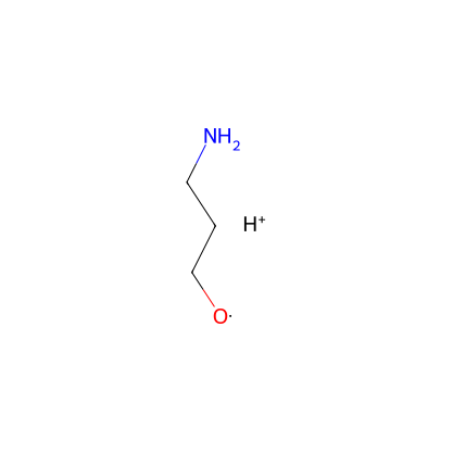 NCCC[O].[H+]